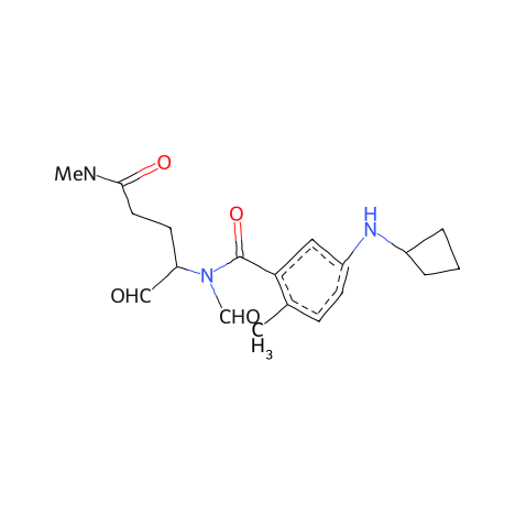 CNC(=O)CCC(C=O)N(C=O)C(=O)c1cc(NC2CCC2)ccc1C